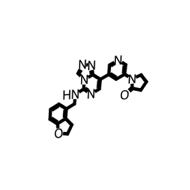 O=C1CCCN1c1cncc(-c2cnc(NCc3cccc4c3CCO4)n3cnnc23)c1